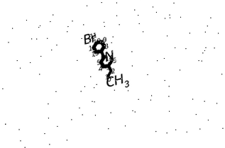 CCCc1ccc(-c2ccc(Br)cc2)nc1